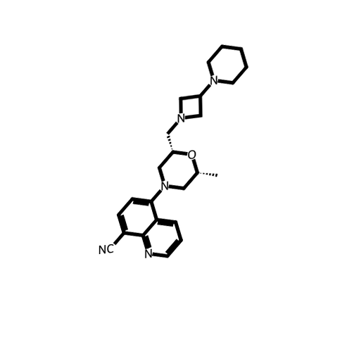 C[C@@H]1CN(c2ccc(C#N)c3ncccc23)C[C@H](CN2CC(N3CCCCC3)C2)O1